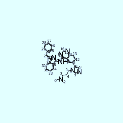 CN(C)CCCn1cncc1-c1ccc2ncnc(Nc3nn(Cc4ccccc4)c4ccccc34)c2c1